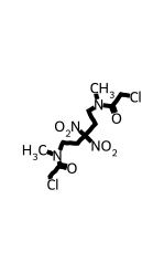 CN(CCC(CCN(C)C(=O)CCl)([N+](=O)[O-])[N+](=O)[O-])C(=O)CCl